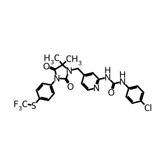 CC1(C)C(=O)N(c2ccc(SC(F)(F)F)cc2)C(=O)N1Cc1ccnc(NC(=O)Nc2ccc(Cl)cc2)c1